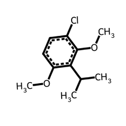 COc1ccc(Cl)c(OC)c1C(C)C